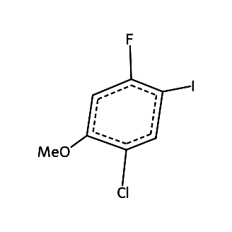 COc1cc(F)c(I)cc1Cl